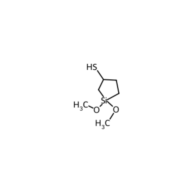 CO[Si]1(OC)CCC(S)C1